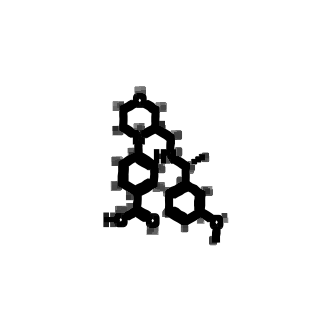 COc1cccc([C@@H](C)NCC2COCCN2c2ccc(C(=O)O)cc2)c1